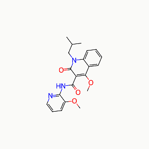 COc1cccnc1NC(=O)c1c(OC)c2ccccc2n(CC(C)C)c1=O